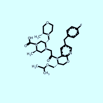 CC(C)OC[C@H]1COc2ncc(Cc3ccc(F)cc3)cc2N1C(=O)CN1C[C@@H](C)N(C(=O)O)C[C@@H]1CN1CCOC[C@H]1C